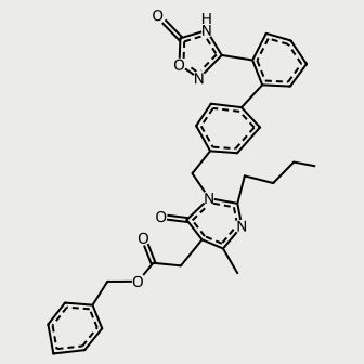 CCCCc1nc(C)c(CC(=O)OCc2ccccc2)c(=O)n1Cc1ccc(-c2ccccc2-c2noc(=O)[nH]2)cc1